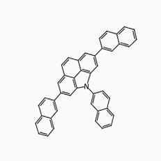 c1ccc2cc(-c3cc4ccc5cc(-c6ccc7ccccc7c6)cc6c5c4c(c3)n6-c3ccc4ccccc4c3)ccc2c1